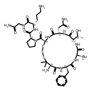 CC[C@H](C)C1NC(=O)[C@@H](Cc2ccccc2)NC(=O)[C@@H](N)C(C)(C)SSC[C@@H](C(=O)N2CCC[C@H]2C(=O)N[C@@H](CCCN)C(=O)NCC(N)=O)NC(=O)[C@H](CC(N)=O)NC(=O)[C@H]([C@@H](C)O)NC1=O